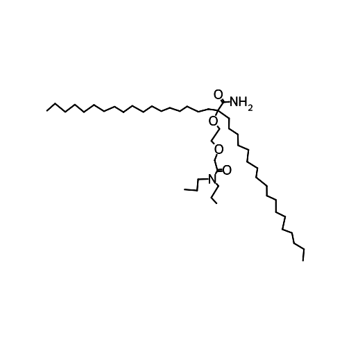 CCCCCCCCCCCCCCCCCCC(CCCCCCCCCCCCCCCCCC)(OCCOCC(=O)N(CCC)CCC)C(N)=O